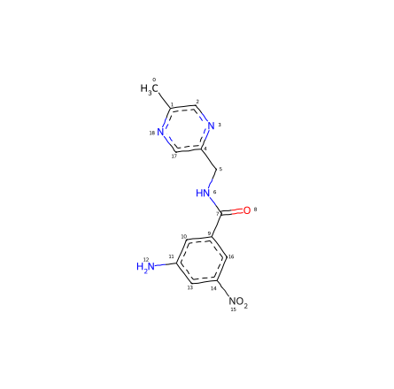 Cc1cnc(CNC(=O)c2cc(N)cc([N+](=O)[O-])c2)cn1